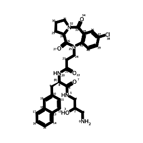 NCC(O)CNC(=O)[C@@H](Cc1ccc2ccccc2c1)NC(=O)CCN1C(=O)C2CCCN2C(=O)c2cc(Cl)ccc21